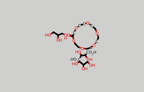 O=C(O)C(O)C(O)C(=O)O.O=C1COCCOCCOCCOCCOCCO1.OCC(O)CO.OCC(O)CO